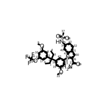 CCC(CC)(c1cc(OC)cc(OC(F)(F)F)c1)c1cc(OC)cc(-n2c(C(N)=O)cc3ccc(NS(C)(=O)=O)cc32)c1